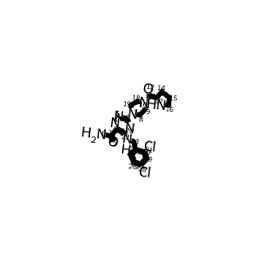 NC(=O)c1nnc(N2CCN(C(=O)C3CCCN3)CC2)nc1NCc1ccc(Cl)cc1Cl